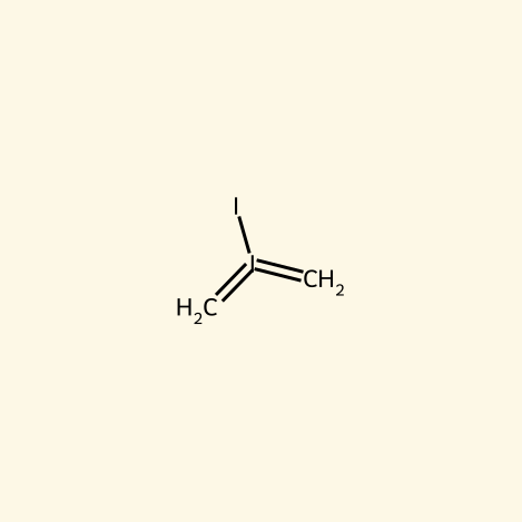 C=I(=C)I